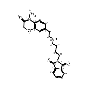 CN1C(=O)COc2cc(CCNCCCCN3C(=O)c4ccccc4C3=O)ccc21